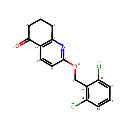 O=C1CCCc2nc(OCc3c(Cl)cccc3Cl)ccc21